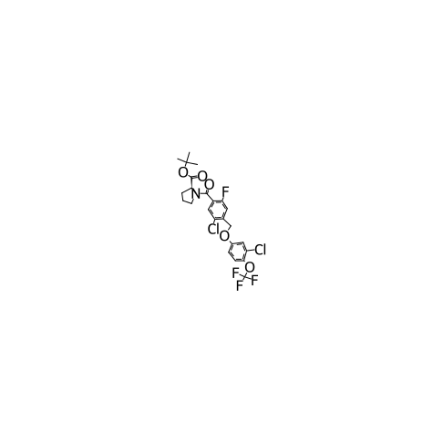 CC(C)(C)OC(=O)[C@@H]1CCCN1C(=O)c1cc(Cl)c(COc2ccc(OC(F)(F)F)c(Cl)c2)cc1F